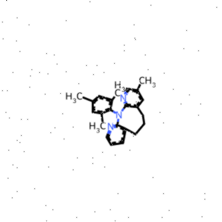 Cc1cc(C)c(N2c3ncccc3CCCc3cc(C)cnc32)c(C)c1